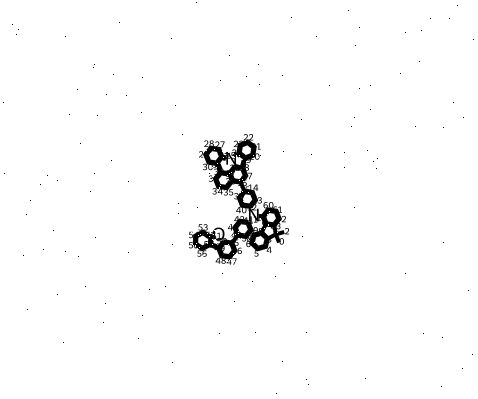 CC1(C)c2ccccc2-c2c(N(c3ccc(-c4cc5c6ccccc6n6c7ccccc7c7cccc4c7c56)cc3)c3ccc(-c4cccc5c4oc4ccccc45)cc3)cccc21